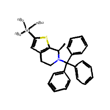 CCC[CH2][Sn]([CH2]CCC)([CH2]CCC)[c]1cc2c(s1)C(C)N(C(c1ccccc1)(c1ccccc1)c1ccccc1)CC2